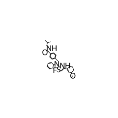 COC1C=C(C2=CSC(N(Cc3ccc(C(=O)NCC(C)C)cc3)C3C=CC=CC3F)N2)CCC1